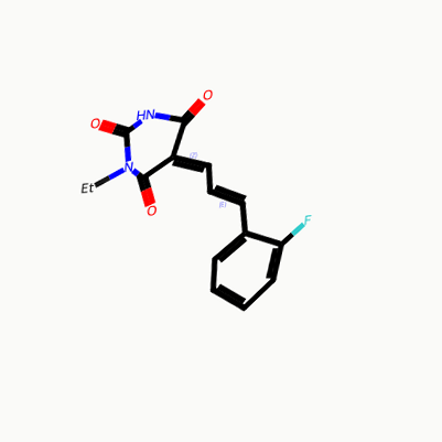 CCN1C(=O)NC(=O)/C(=C/C=C/c2ccccc2F)C1=O